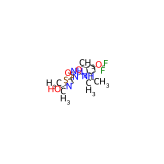 CCc1cc(OC(F)F)cc(C(C)C)c1NC(=O)N=S(N)(=O)c1cnc(C(C)(C)O)s1